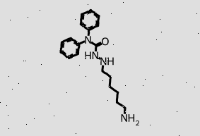 NCCCCCCNNC(=O)N(c1ccccc1)c1ccccc1